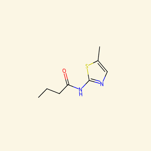 CCCC(=O)Nc1ncc(C)s1